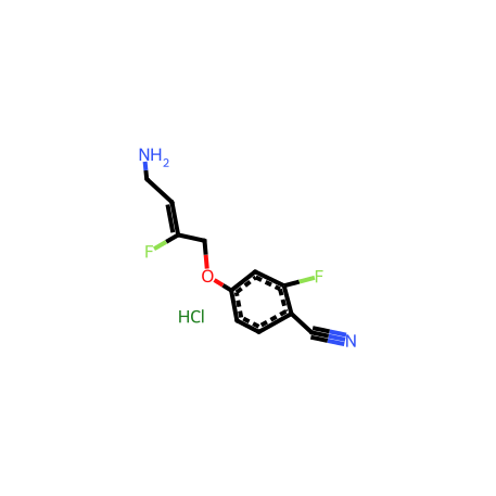 Cl.N#Cc1ccc(OC/C(F)=C/CN)cc1F